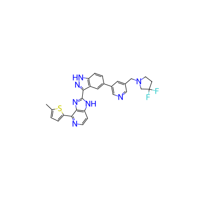 Cc1ccc(-c2nccc3[nH]c(-c4n[nH]c5ccc(-c6cncc(CN7CCC(F)(F)C7)c6)cc45)nc23)s1